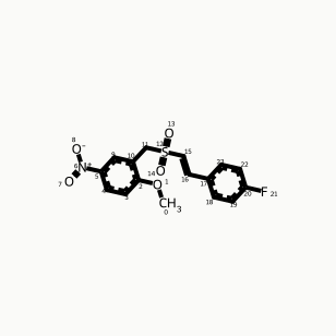 COc1ccc([N+](=O)[O-])cc1CS(=O)(=O)C=Cc1ccc(F)cc1